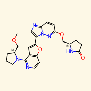 COC[C@@H]1CCCN1c1nccc2oc(-c3cnc4ccc(OC[C@H]5CCC(=O)N5)nn34)cc12